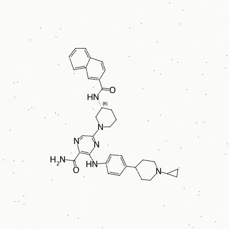 NC(=O)c1ncc(N2CCC[C@@H](NC(=O)c3ccc4ccccc4c3)C2)nc1Nc1ccc(C2CCN(C3CC3)CC2)cc1